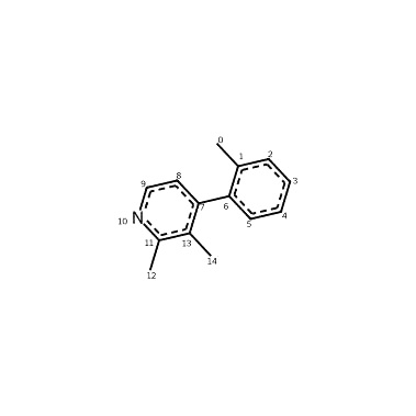 Cc1ccccc1-c1ccnc(C)c1C